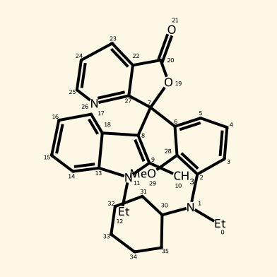 CCN(c1cccc(C2(c3c(C)n(CC)c4ccccc34)OC(=O)c3cccnc32)c1OC)C1CCCCC1